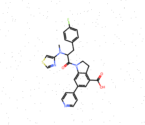 CN(c1cscn1)C(Cc1ccc(F)cc1)C(=O)N1CCc2c(C(=O)O)cc(-c3ccncc3)cc21